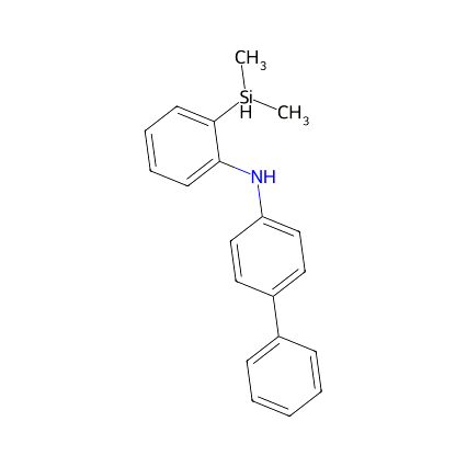 C[SiH](C)c1ccccc1Nc1ccc(-c2ccccc2)cc1